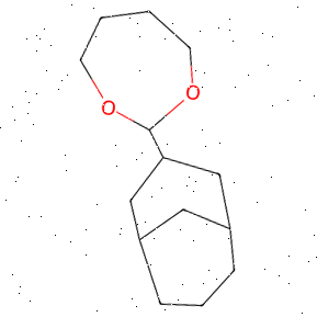 C1CCOC(C2CC3CCCC(C3)C2)OC1